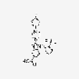 CC(F)(F)c1ccccc1Cn1c(N2CCN(c3ccc(F)cc3)CC2)nc2cc(C(=O)O)ccc21